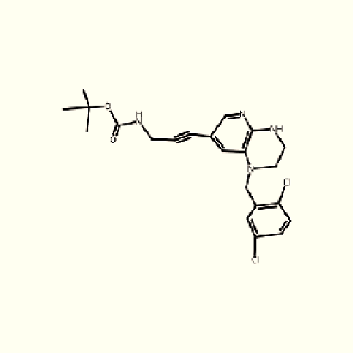 CC(C)(C)OC(=O)NCC#Cc1cnc2c(c1)N(Cc1cc(Cl)ccc1Cl)CCN2